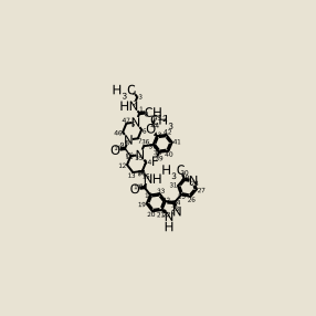 C=C(NCC)N1CCN(C(=O)[C@@H]2CC[C@@H](NC(=O)c3ccc4[nH]nc(-c5ccnc(C)c5)c4c3)CN2Cc2c(F)cccc2OC)CC1